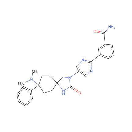 CN(C)C1(c2ccccc2)CCC2(CC1)CN(c1cnc(-c3cccc(C(N)=O)c3)nc1)C(=O)N2